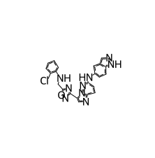 Clc1ccccc1NCc1nc(-c2cnc3ccc(Nc4ccc5[nH]ncc5c4)nn23)no1